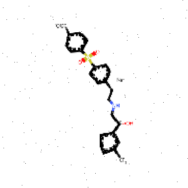 O=C([O-])c1ccc(S(=O)(=O)c2ccc(CCNC[C@H](O)c3cccc(C(F)(F)F)c3)cc2)cc1.[Na+]